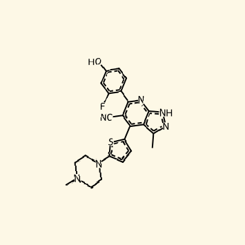 Cc1n[nH]c2nc(-c3ccc(O)cc3F)c(C#N)c(-c3ccc(N4CCN(C)CC4)s3)c12